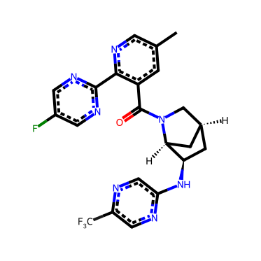 Cc1cnc(-c2ncc(F)cn2)c(C(=O)N2C[C@H]3C[C@@H](Nc4cnc(C(F)(F)F)cn4)[C@@H]2C3)c1